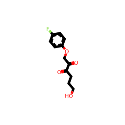 O=C(CCCO)C(=O)COc1ccc(F)cc1